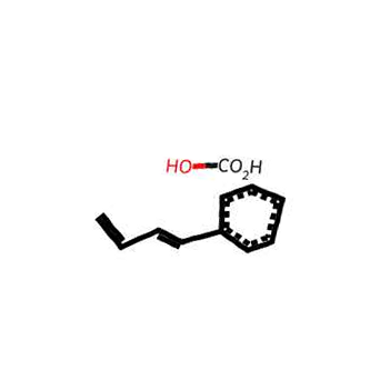 C=CC=Cc1ccccc1.O=C(O)O